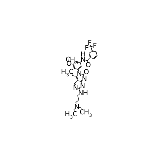 CCc1c2cnc(NCCCN(CC)CC)nc2nc(=O)n1-c1cc(NC(=O)c2cccc(C(F)(F)F)c2)cc(OC)c1